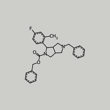 Cc1cc(F)ccc1C1C2CN(Cc3ccccc3)CC2CN1C(=O)OCc1ccccc1